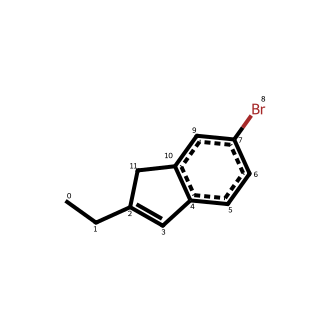 CCC1=Cc2ccc(Br)cc2C1